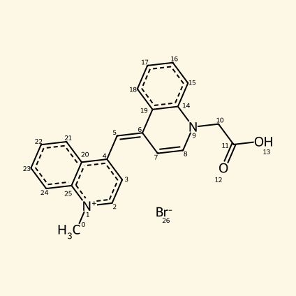 C[n+]1ccc(C=C2C=CN(CC(=O)O)c3ccccc32)c2ccccc21.[Br-]